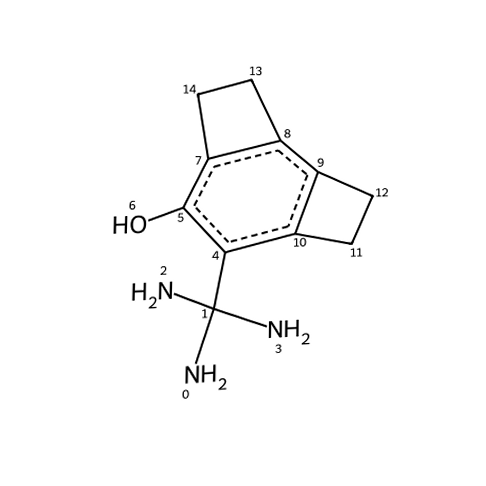 NC(N)(N)c1c(O)c2c(c3c1CC3)CC2